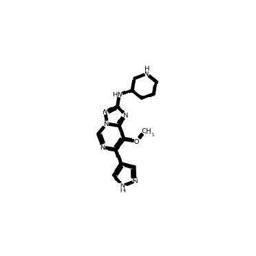 COc1c(-c2cn[nH]c2)ncn2nc(NC3CCCNC3)nc12